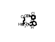 CN1C[C@@H]2CCC[C@H](c3ccc(Cl)c(Cl)c3)[C@@H]2C1.O=C(O)/C=C/C(=O)O